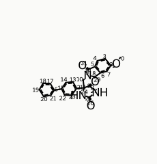 COc1ccc2c(c1)CN(CC1(c3ccc(-c4ccccc4)cc3)NC(=O)NC1=O)C2=O